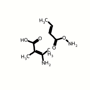 CC(N)=C(C)C(=O)O.CC=CC(=O)ON